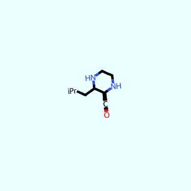 CC(C)CC1NCCNC1=C=O